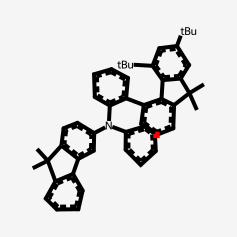 CC(C)(C)c1cc(C(C)(C)C)c2c(c1)C(C)(C)c1cccc(-c3ccccc3N(c3ccccc3)c3ccc4c(c3)-c3ccccc3C4(C)C)c1-2